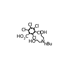 CCCCN(CCO)CCO.O=C(O)c1c(Cl)c(Cl)c(Cl)c(Cl)c1Cl